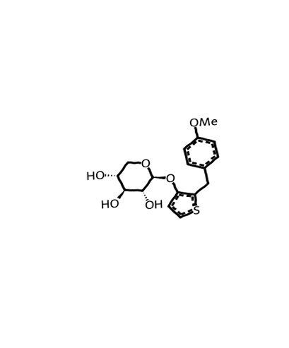 COc1ccc(Cc2sccc2O[C@@H]2OC[C@@H](O)[C@H](O)[C@H]2O)cc1